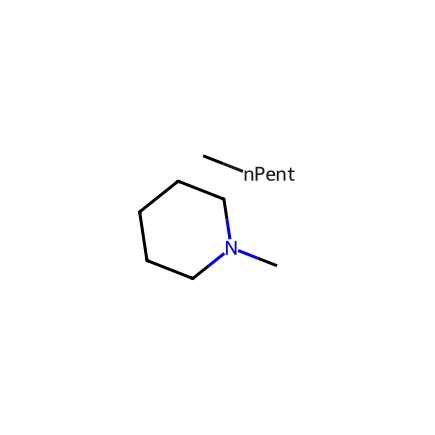 CCCCCC.CN1CCCCC1